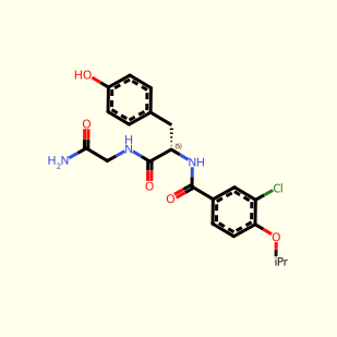 CC(C)Oc1ccc(C(=O)N[C@@H](Cc2ccc(O)cc2)C(=O)NCC(N)=O)cc1Cl